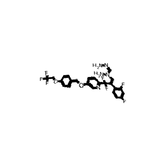 N/N=C\N(N)CC(c1ccc(F)cc1F)C(F)(F)c1ccc(OCc2ccc(OCC(F)(F)F)cc2)cn1